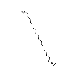 CCCCCCCCCCCCCCCCCCON1CC1